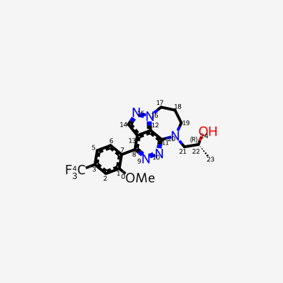 COc1cc(C(F)(F)F)ccc1-c1nnc2c3c1cnn3CCCN2C[C@@H](C)O